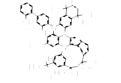 Cc1cc2c3c(c1)N1c4cc(C(C)(C)C)cc(c4)C(C)(C)CC(C)(C)c4ccc5sc(c1c5c4)B3c1cc3c(cc1N2c1ccc(-c2ccccc2C)cc1C)C(C)(C)CCC3(C)C